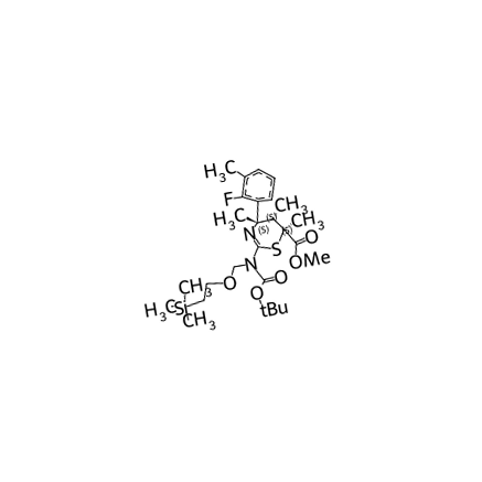 COC(=O)[C@@]1(C)SC(N(COCC[Si](C)(C)C)C(=O)OC(C)(C)C)=N[C@](C)(c2cccc(C)c2F)[C@@H]1C